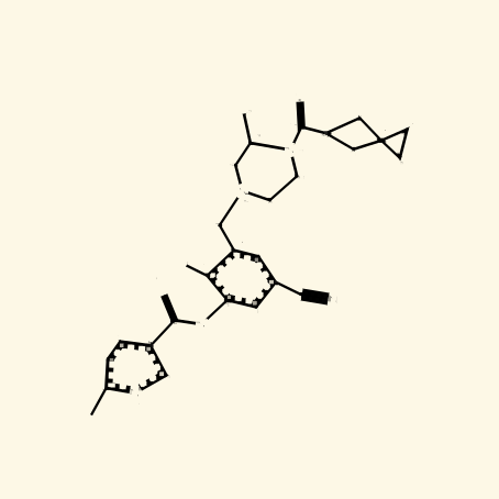 Cc1ccc(C(=O)Nc2cc(C#N)cc(CN3CCN(C(=O)C4CC5(CC5)C4)C(C)C3)c2C)cn1